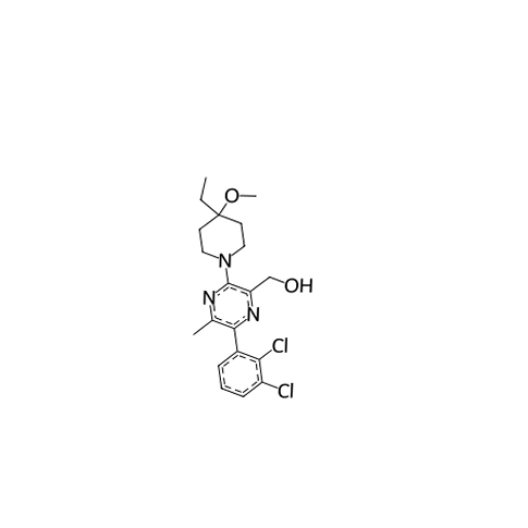 CCC1(OC)CCN(c2nc(C)c(-c3cccc(Cl)c3Cl)nc2CO)CC1